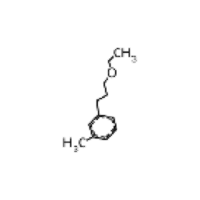 CCOCCCc1cccc(C)c1